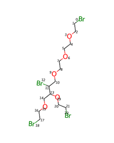 BrCCOCCOCCOCC(Br)C(COCCBr)OCCBr